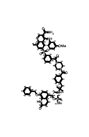 COc1cccc(Nc2c(C(N)=O)cnc3c(C)cc(S(=O)(=O)c4cccc(C(=O)N5CCN(C(=O)c6cccc(CC(C)(C)NC[C@H](O[Si](C)(C)C(C)(C)C)c7ccc(OCc8ccccc8)c8[nH]c(=O)ccc78)c6)CC5)c4)cc23)c1